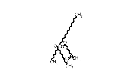 CCCCCCCCCCCCCC(COC(=O)C(CCCCCC)CCCCCCCC)OC(=O)CCCCCN(C)C